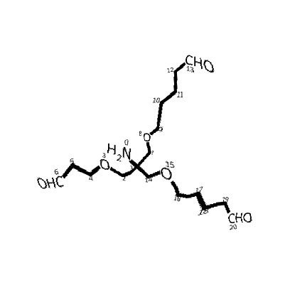 NC(COCCC=O)(COCCCCC=O)COCCCCC=O